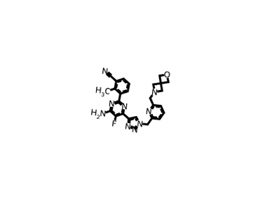 Cc1c(C#N)cccc1-c1nc(N)c(F)c(-c2cn(Cc3cccc(CN4CC5(COC5)C4)n3)nn2)n1